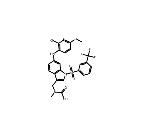 COc1ccc(Nc2ccc3c(CN(C)C(=O)O)cn(S(=O)(=O)c4cccc(C(F)(F)F)c4)c3c2)c(Cl)n1